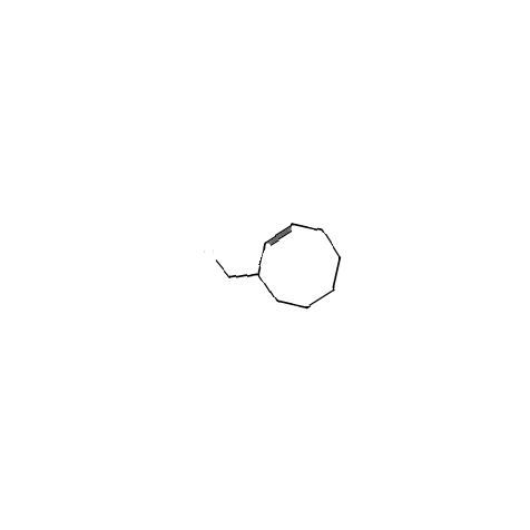 OCC1/C=C\CCCCC1